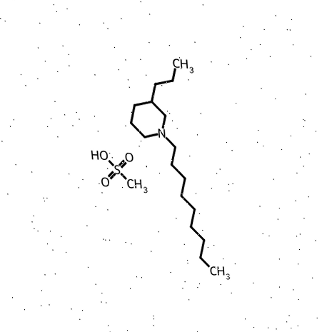 CCCCCCCCCN1CCCC(CCC)C1.CS(=O)(=O)O